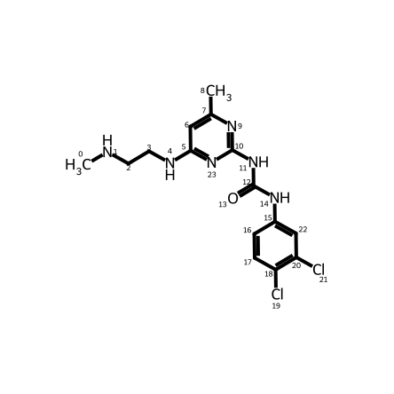 CNCCNc1cc(C)nc(NC(=O)Nc2ccc(Cl)c(Cl)c2)n1